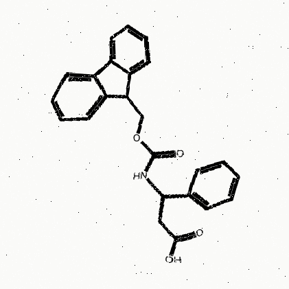 O=C(O)CC(NC(=O)OCC1c2ccccc2-c2ccccc21)c1ccccc1